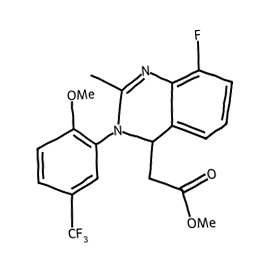 COC(=O)CC1c2cccc(F)c2N=C(C)N1c1cc(C(F)(F)F)ccc1OC